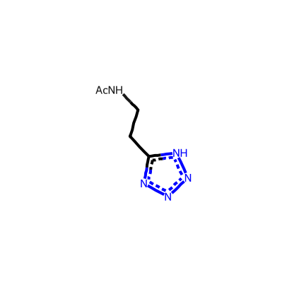 CC(=O)NCCc1nnn[nH]1